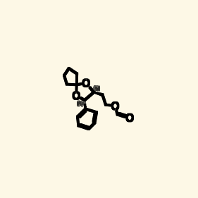 O=COCC[C@@H]1OC2(CCCC2)O[C@H]1c1ccccc1